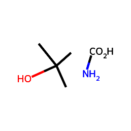 CC(C)(C)O.NC(=O)O